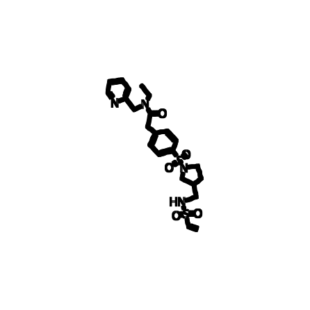 C=CS(=O)(=O)NCC1CCN(S(=O)(=O)c2ccc(CC(=O)N(CC)Cc3ccccn3)cc2)C1